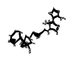 Cc1ncoc1-c1nnc(SCCCN2C[C@@H]3CC3(c3ncccn3)C2)n1C